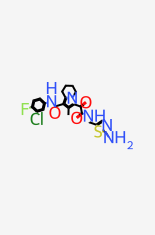 Cc1c(C(=O)Nc2ccc(F)c(Cl)c2)c2n(c1C(=O)C(=O)NCc1cnc(N)s1)CCCC2